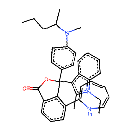 CCCC(C)N(C)c1ccc(C2(c3c(C)n(CC)c4ccccc34)OC(=O)c3cccc(C4=CC=CC=CN4)c32)cc1